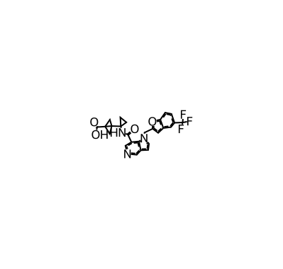 O=C(NC1(C23CC2(C(=O)O)C3)CC1)c1cncc2ccn(Cc3cc4cc(C(F)(F)F)ccc4o3)c12